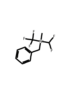 C[N+](Cc1ccccc1)(C(F)F)C(F)(F)F